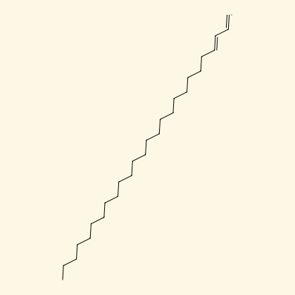 [CH]=CC=CCCCCCCCCCCCCCCCCCCCCCC